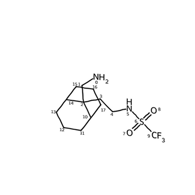 NCC1(CCNS(=O)(=O)C(F)(F)F)C2CCCC1CCC2